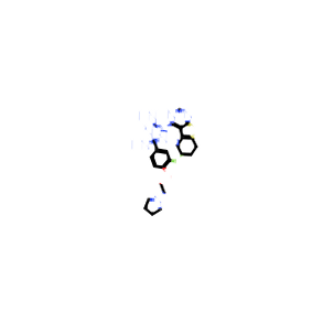 NC1=NC(N)(c2ccc(OCCN3CCCC3)c(F)c2)NN1c1ncnc2sc3c(c12)CCCC3